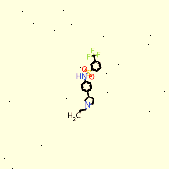 C=CCN1CCC(c2ccc(NS(=O)(=O)c3cccc(C(F)(F)F)c3)cc2)C1